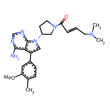 COc1cc(-c2cn([C@@H]3CCN(C(=O)/C=C/CN(C)C)C3)c3ncnc(N)c23)ccc1C